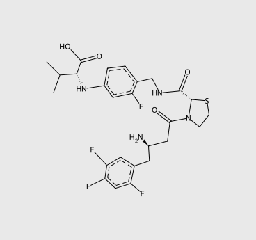 CC(C)[C@@H](Nc1ccc(CNC(=O)[C@@H]2SCCN2C(=O)C[C@H](N)Cc2cc(F)c(F)cc2F)c(F)c1)C(=O)O